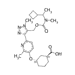 Cc1nc(-c2nnn(C)c2COC(=O)N(C)C(C)C2CCC2)ccc1O[C@H]1CCC[C@H](C(=O)O)C1